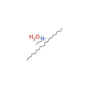 CCCCCCCCCCCCCCCCCC.CCCN(C)C.O